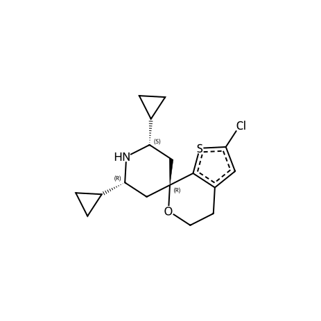 Clc1cc2c(s1)[C@]1(C[C@@H](C3CC3)N[C@@H](C3CC3)C1)OCC2